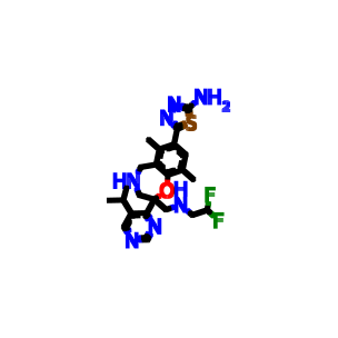 Cc1cc(-c2nnc(N)s2)c(C)c2c1OC(CNCC(F)F)(c1ncncc1C(C)C)CNC2